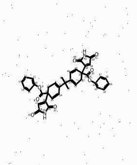 CC(C)(C1=CCC(C(=O)Oc2ccccc2)(C2=CC(=O)NC2=O)C=C1)C1=CCC(C(=O)Oc2ccccc2)(C2=CC(=O)NC2=O)C=C1